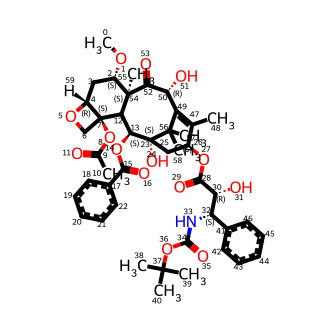 CO[C@H]1C[C@H]2OC[C@@]2(OC(C)=O)C2[C@H](OC(=O)c3ccccc3)[C@]3(O)C[C@H](OC(=O)[C@H](O)[C@@H](NC(=O)OC(C)(C)C)c4ccccc4)C(C)=C([C@@H](O)C(=O)[C@@]21C)C3(C)C